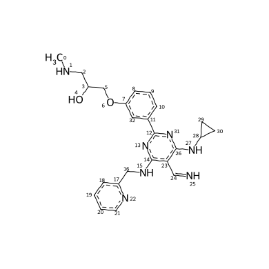 CNCC(O)COc1cccc(-c2nc(NCc3ccccn3)c(C=N)c(NC3CC3)n2)c1